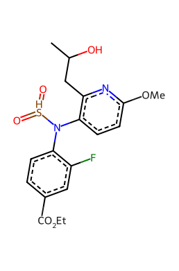 CCOC(=O)c1ccc(N(c2ccc(OC)nc2CC(C)O)[SH](=O)=O)c(F)c1